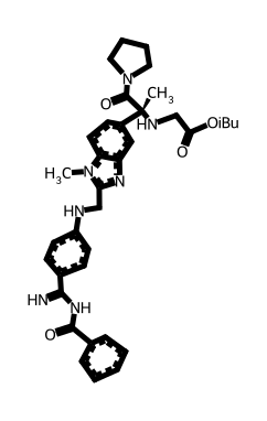 CC(C)COC(=O)CN[C@@](C)(C(=O)N1CCCC1)c1ccc2c(c1)nc(CNc1ccc(C(=N)NC(=O)c3ccccc3)cc1)n2C